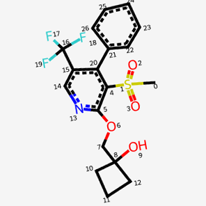 CS(=O)(=O)c1c(OCC2(O)CCC2)ncc(C(F)(F)F)c1-c1ccccc1